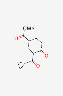 COC(=O)C1CCC(=O)C(C(=O)C2CC2)C1